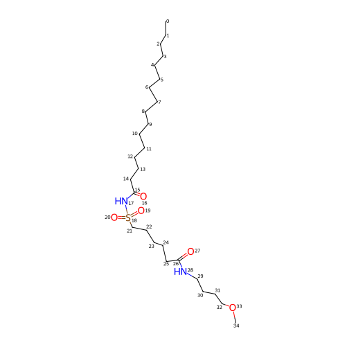 CCCCCCCCCCCCCCCC(=O)NS(=O)(=O)CCCCCC(=O)NCCCCOC